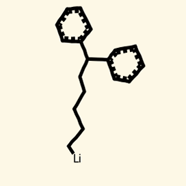 [Li][CH2]CCCCC(c1ccccc1)c1ccccc1